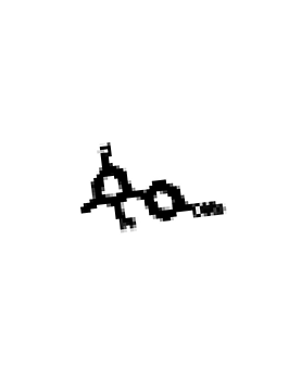 COc1ccc(-c2cc(Cl)cc(C)c2C(C)C)cc1